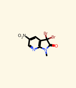 CN1C(=O)C(Br)(Br)c2cc([N+](=O)[O-])cnc21